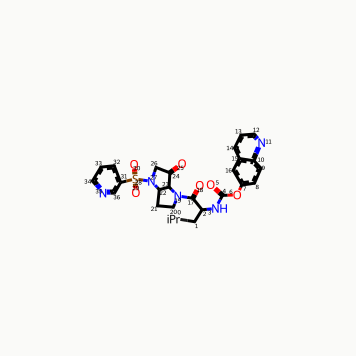 CC(C)CC(NC(=O)Oc1ccc2ncccc2c1)C(=O)N1CCC2C1C(=O)CN2S(=O)(=O)c1cccnc1